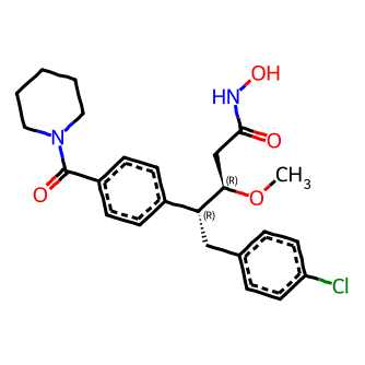 CO[C@H](CC(=O)NO)[C@H](Cc1ccc(Cl)cc1)c1ccc(C(=O)N2CCCCC2)cc1